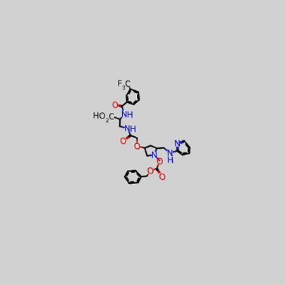 O=C(COC1CC(CNc2ccccn2)N(OC(=O)OCc2ccccc2)C1)NCC(NC(=O)c1cccc(C(F)(F)F)c1)C(=O)O